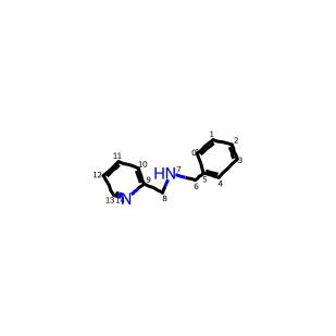 [c]1ccccc1CNCc1ccccn1